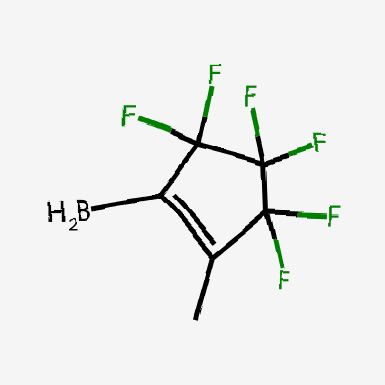 BC1=C(C)C(F)(F)C(F)(F)C1(F)F